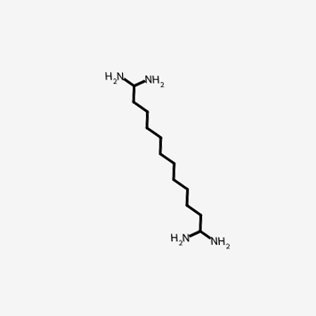 NC(N)CCCCCCCCCCC(N)N